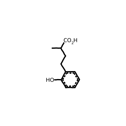 CC(CCc1ccccc1O)C(=O)O